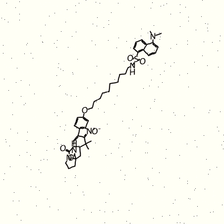 CN(C)c1cccc2c(S(=O)(=O)NCCCCCCCCCCOc3ccc4c(c3)[N+]([O-])=C3C4=C[C@@]45NC(=O)C6(CCCN6C4=O)CC5C3(C)C)cccc12